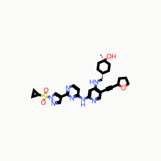 C[C@]1(O)CC[C@H](CNc2cc(Nc3ccnc(-c4cnn(S(=O)(=O)C5CC5)c4)n3)ncc2C#CC2CCCO2)CC1